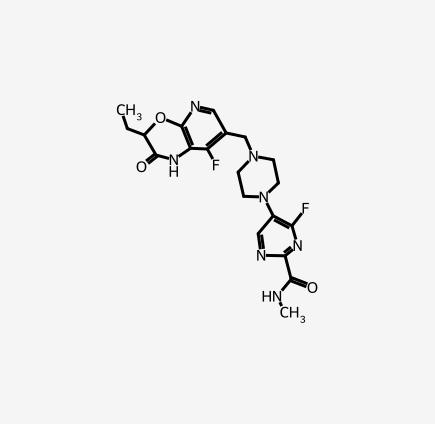 CCC1Oc2ncc(CN3CCN(c4cnc(C(=O)NC)nc4F)CC3)c(F)c2NC1=O